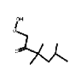 CC(C)CC(C)(C)C(=O)COO